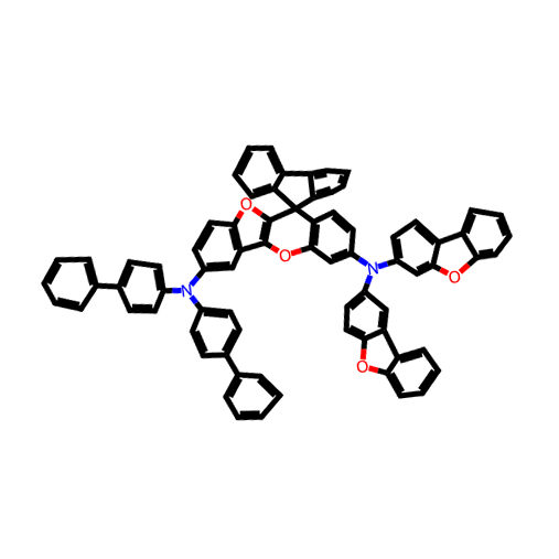 c1ccc(-c2ccc(N(c3ccc(-c4ccccc4)cc3)c3ccc4oc5c(c4c3)Oc3cc(N(c4ccc6c(c4)oc4ccccc46)c4ccc6oc7ccccc7c6c4)ccc3C53c4ccccc4-c4ccccc43)cc2)cc1